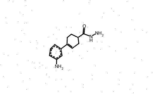 NNC(=O)C1CC=C(c2cccc(N)c2)CC1